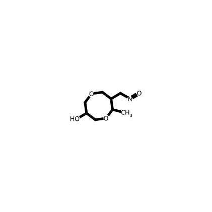 CC1OCC(O)COCC1CN=O